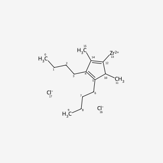 CCCCC1=C(CCCC)C(C)[C]([Zr+2])=C1C.[Cl-].[Cl-]